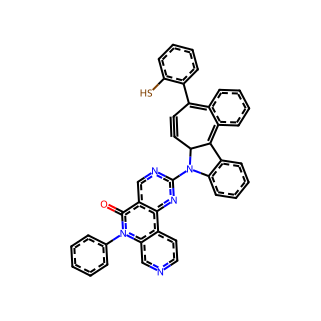 O=c1c2cnc(N3c4ccccc4C4=c5ccccc5=C(c5ccccc5S)C#CC43)nc2c2ccncc2n1-c1ccccc1